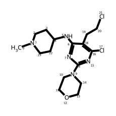 CN1CCC(Nc2nc(N3CCOCC3)nc(Cl)c2CCCl)CC1